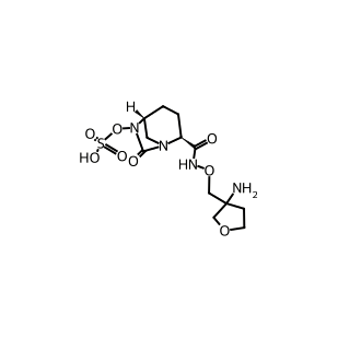 NC1(CONC(=O)[C@@H]2CC[C@@H]3CN2C(=O)N3OS(=O)(=O)O)CCOC1